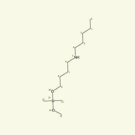 CCCCCNCCCCO[Si](C)(C)OC